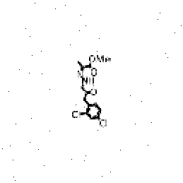 COC(=O)C(C)=NNCC(=O)Cc1ccc(Cl)cc1Cl